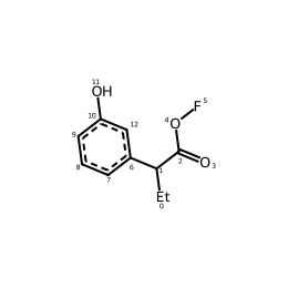 CCC(C(=O)OF)c1cccc(O)c1